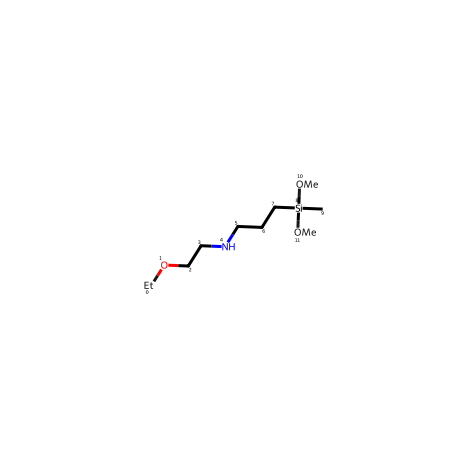 CCOCCNCCC[Si](C)(OC)OC